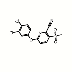 CS(=O)(=O)c1ccc(Oc2ccc(Cl)c(Cl)c2)nc1C#N